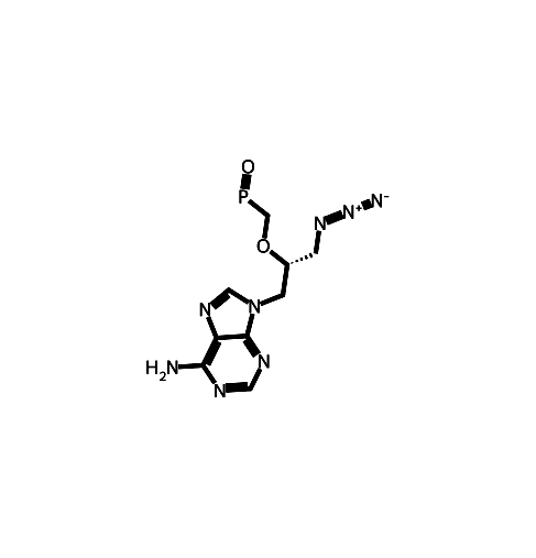 [N-]=[N+]=NC[C@H](Cn1cnc2c(N)ncnc21)OCP=O